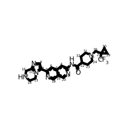 O=C(Nc1cc2cc(-c3cnc4n3CCNC4)ncc2cn1)C1CCN(CC2(C(F)(F)F)CC2)CC1